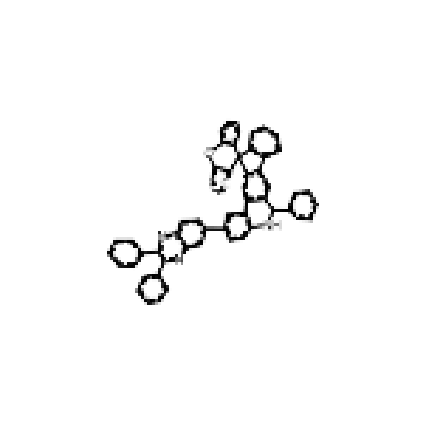 c1ccc(-c2nc3ccc(-c4ccc5c(c4)-c4cc6c(cc4C(c4ccccc4)N5)-c4ccccc4C64c5ccccc5Oc5ccccc54)cc3nc2-c2ccccc2)cc1